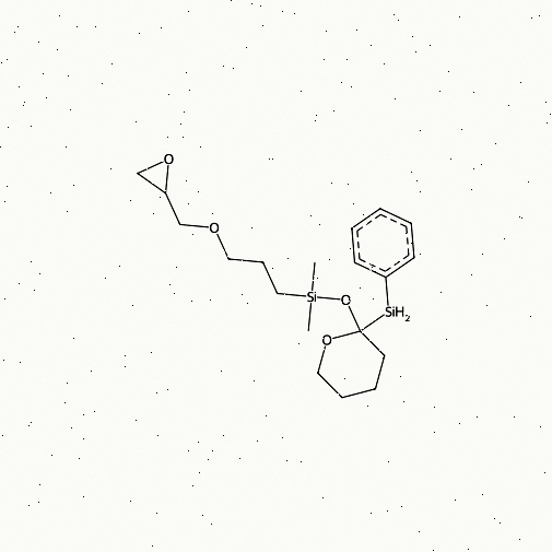 C[Si](C)(CCCOCC1CO1)OC1([SiH2]c2ccccc2)CCCCO1